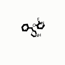 Fc1ncccc1O[C@@H](c1ccccc1)[C@H]1CCNC1